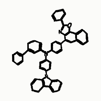 C1=Cc2c(c3ccccc3n2-c2ccc(N(c3ccc(-c4cc5ccccc5c5oc(-c6ccccc6)nc45)cc3)c3cccc(-c4ccccc4)c3)cc2)CC1